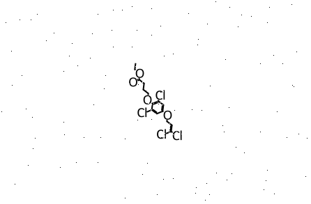 CCOC(=O)CCCOc1c(Cl)cc(OCC=C(Cl)Cl)cc1Cl